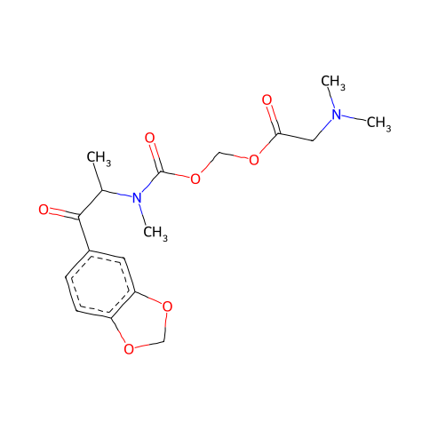 CC(C(=O)c1ccc2c(c1)OCO2)N(C)C(=O)OCOC(=O)CN(C)C